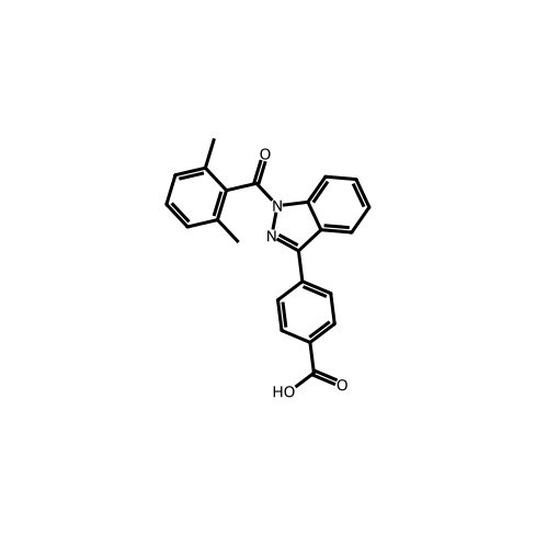 Cc1cccc(C)c1C(=O)n1nc(-c2ccc(C(=O)O)cc2)c2ccccc21